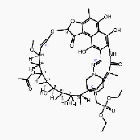 CCOP(=O)(CN1CCN(/N=C/c2c3c(O)c4c(O)c(C)c5c(c4c2O)C(=O)[C@@](C)(O/C=C/[C@H](OC)[C@@H](C)[C@@H](OC(C)=O)[C@H](C)[C@H](O)[C@H](C)[C@@H](O)[C@@H](C)/C=C/C=C(/C)C(=O)N3)O5)CC1)OCC